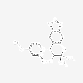 CCOc1ccn(C2c3cc4nonc4cc3OC(C)(C)C2O)[n+](=O)c1